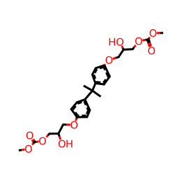 COC(=O)OCC(O)COc1ccc(C(C)(C)c2ccc(OCC(O)COC(=O)OC)cc2)cc1